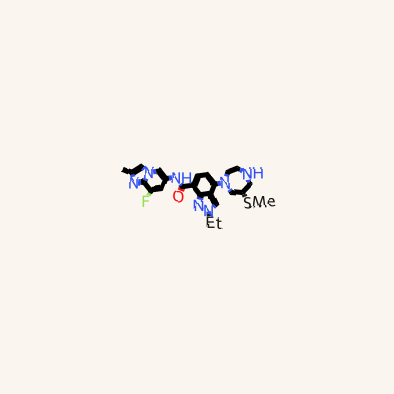 CCn1cc2c(N3CCNCC(SC)C3)ccc(C(=O)Nc3cc(F)c4nc(C)cn4c3)c2n1